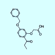 CCC(=O)c1ccc(OCc2ccccc2)cc1OCC(=O)O